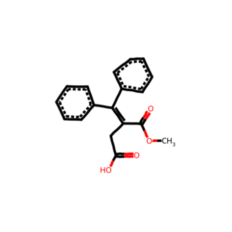 COC(=O)C(CC(=O)O)=C(c1ccccc1)c1ccccc1